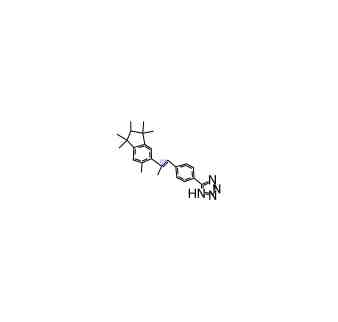 C/C(=C\c1ccc(-c2nnn[nH]2)cc1)c1cc2c(cc1C)C(C)(C)C(C)C2(C)C